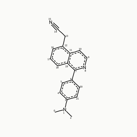 CN(C)c1ccc(-c2nccc3c(CC#N)cccc23)cc1